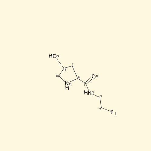 O=C(NCCF)C1CC(O)CN1